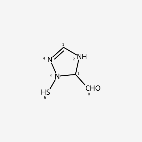 O=CC1NC=NN1S